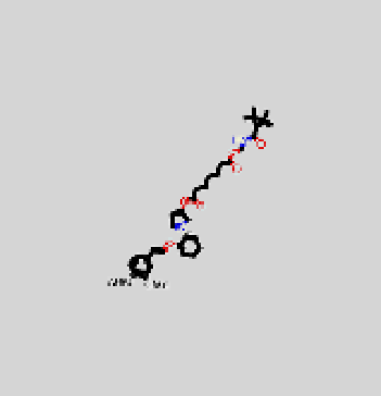 COc1ccc(CCO[C@@H]2CCCC[C@H]2N2CC[C@@H](OC(=O)CCCCCC(=O)OCNC(=O)C3C(C)(C)C3(C)C)C2)cc1OC